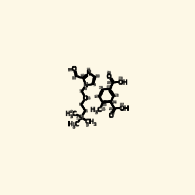 C[Si](C)(C)CCOCn1ccnc1C=O.Cc1ccc(C(=O)O)cc1C(=O)O